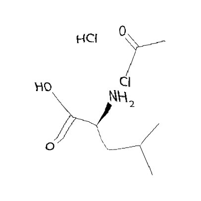 CC(=O)Cl.CC(C)C[C@H](N)C(=O)O.Cl